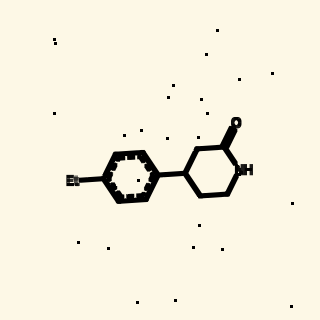 CCc1ccc(C2CCNC(=O)C2)cc1